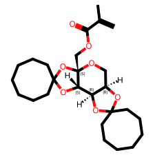 C=C(C)C(=O)OC[C@@]12OC[C@H]3OC4(CCCCCCC4)O[C@H]3[C@@H]1OC1(CCCCCCC1)O2